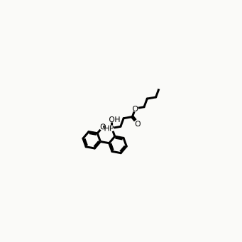 CCCCOC(=O)CC[PH]1(O)Oc2ccccc2-c2ccccc21